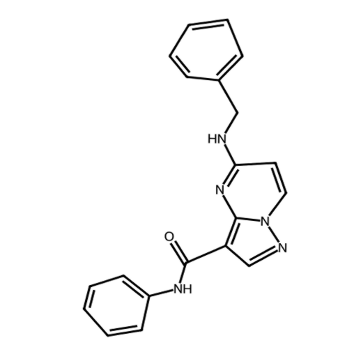 O=C(Nc1ccccc1)c1cnn2ccc(NCc3ccccc3)nc12